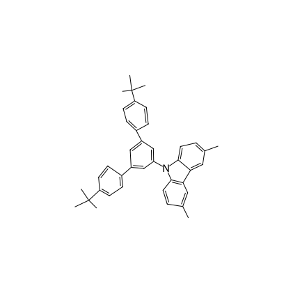 Cc1ccc2c(c1)c1cc(C)ccc1n2-c1cc(-c2ccc(C(C)(C)C)cc2)cc(-c2ccc(C(C)(C)C)cc2)c1